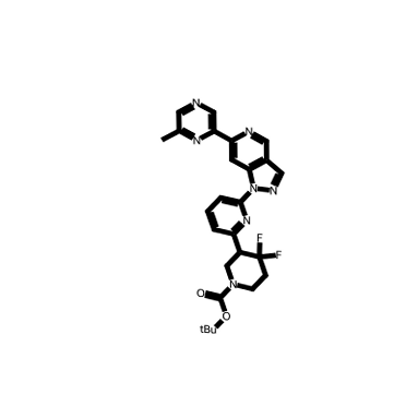 Cc1cncc(-c2cc3c(cn2)cnn3-c2cccc(C3CN(C(=O)OC(C)(C)C)CCC3(F)F)n2)n1